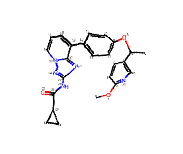 COc1ccc(C(C)Oc2ccc(-c3cccn4nc(NC(=O)C5CC5)nc34)cc2)cn1